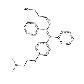 CN(C)CCOc1ccc(C(=C(/C=C\CCO)c2ccccc2)c2ccccc2)cc1